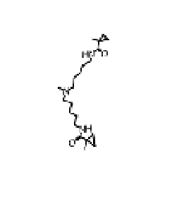 CN(CCCCCNC(=O)C1(C)CC1)CCCCCNC(=O)C1(C)CC1